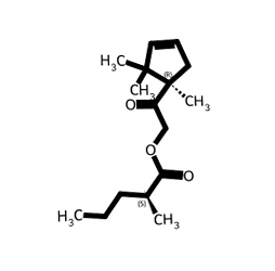 CCC[C@H](C)C(=O)OCC(=O)[C@]1(C)CC=CC1(C)C